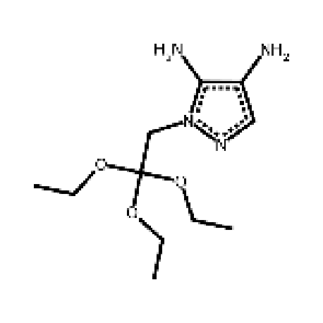 CCOC(Cn1ncc(N)c1N)(OCC)OCC